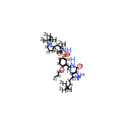 [2H]C([2H])([2H])CCc1nn(C)c2c(=O)[nH]c(-c3cc(S(=O)(=O)NC([2H])([2H])CC4CCCN4C([2H])([2H])[2H])ccc3OCCC)nc12